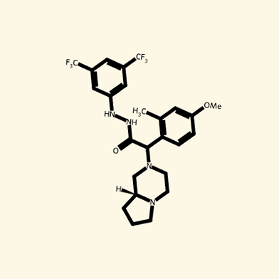 COc1ccc(C(C(=O)NNc2cc(C(F)(F)F)cc(C(F)(F)F)c2)N2CCN3CCC[C@@H]3C2)c(C)c1